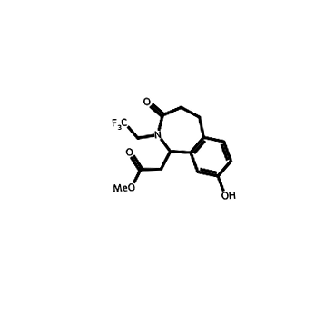 COC(=O)CC1c2cc(O)ccc2CCC(=O)N1CC(F)(F)F